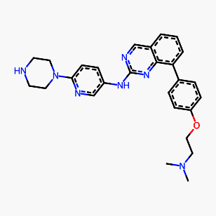 CN(C)CCOc1ccc(-c2cccc3cnc(Nc4ccc(N5CCNCC5)nc4)nc23)cc1